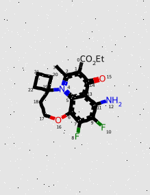 CCOC(=O)c1c(C)n2c3c(c(F)c(F)c(N)c3c1=O)OCCC21CCC1